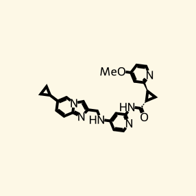 COc1ccnc([C@H]2C[C@@H]2C(=O)Nc2cc(NCc3cn4cc(C5CC5)ccc4n3)ccn2)c1